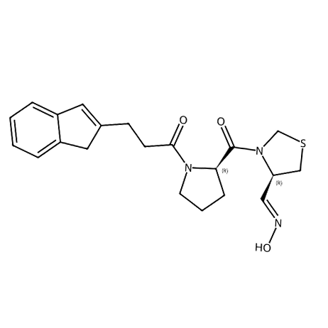 O=C([C@H]1CCCN1C(=O)CCC1=Cc2ccccc2C1)N1CSC[C@H]1C=NO